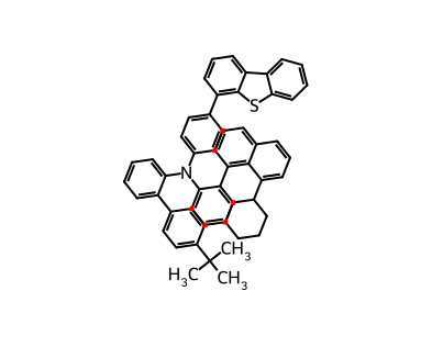 CC(C)(C)c1ccc(-c2ccccc2N(c2ccc(-c3cccc4c3sc3ccccc34)cc2)c2ccccc2-c2cccc3cccc(C4CCCCC4)c23)cc1